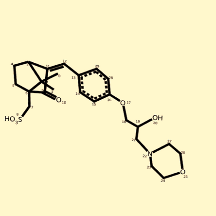 CC1(C)C2CCC1(CS(=O)(=O)O)C(=O)/C2=C\c1ccc(OCC(O)CN2CCOCC2)cc1